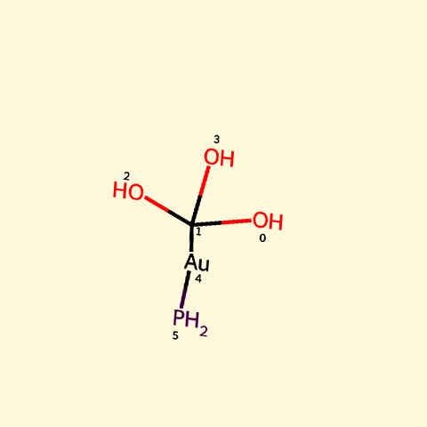 O[C](O)(O)[Au][PH2]